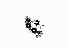 CNc1ccncc1.COP(=S)(OC)Oc1ccc(Sc2ccc(OP(=S)(OC)OC)cc2)cc1